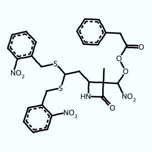 CC1(C(OOC(=O)Cc2ccccc2)[N+](=O)[O-])C(=O)NC1CC(SCc1ccccc1[N+](=O)[O-])SCc1ccccc1[N+](=O)[O-]